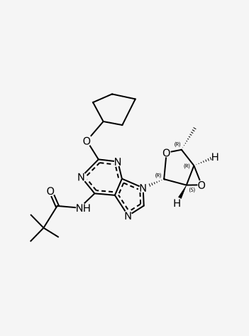 C[C@H]1O[C@@H](n2cnc3c(NC(=O)C(C)(C)C)nc(OC4CCCC4)nc32)[C@H]2O[C@@H]21